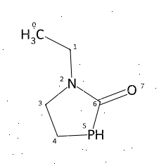 CCN1CCPC1=O